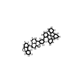 C1=CC2C(c3cccc4oc5ccccc5c34)=CC=C3Oc4ccc(-c5cccc6c5-c5ccccc5C65c6ccccc6-c6ccccc65)cc4C(=C1)C32